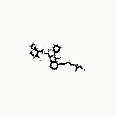 C=CC(=O)NCCC#Cc1cccc2nc([C@H](C)NC(=O)c3c(C)ncn4ccnc34)n(-c3ccccc3)c(=O)c12